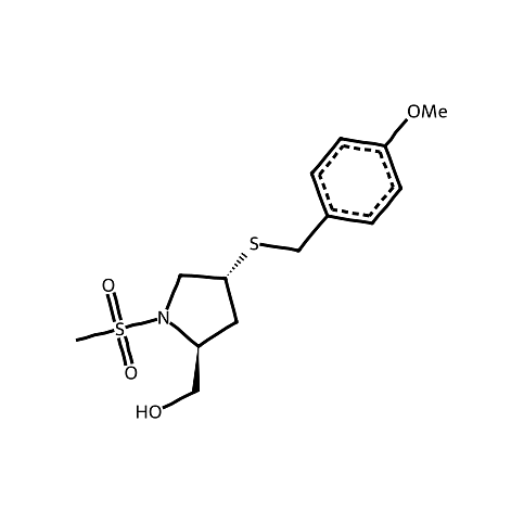 COc1ccc(CS[C@@H]2C[C@@H](CO)N(S(C)(=O)=O)C2)cc1